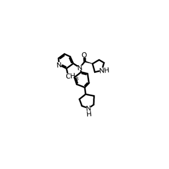 Cc1ncccc1N(C(=O)[C@H]1CCNC1)c1ccc(C2CCNCC2)cc1